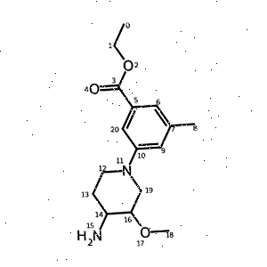 CCOC(=O)c1cc(C)cc(N2CCC(N)C(OC)C2)c1